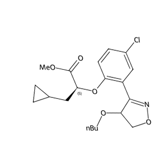 CCCCOC1CON=C1c1cc(Cl)ccc1O[C@@H](CC1CC1)C(=O)OC